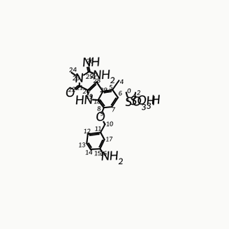 CS(=O)(=O)O.CS(=O)(=O)O.Cc1ccc(OCc2cccc(N)c2)c2[nH]c(C(=O)N(C)C(=N)N)cc12